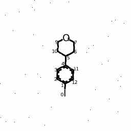 Ic1ccc(C2CCOCC2)cc1